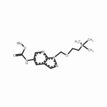 CC(C)(C)OC(=O)Nc1cnc2c(cnn2COCC[Si](C)(C)C)c1